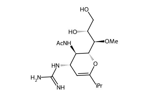 CO[C@@H]([C@@H]1OC(C(C)C)=C[C@H](NC(=N)N)[C@H]1NC(C)=O)[C@H](O)CO